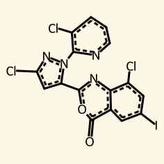 O=c1oc(-c2cc(Cl)nn2-c2ncccc2Cl)nc2c(Cl)cc(I)cc12